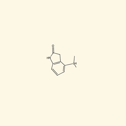 C[SH](C)c1cccc2c1CC(=O)N2